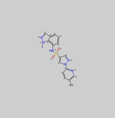 CC(=O)c1ccc(-n2cc(S(=O)(=O)Nc3cccc4cnn(C)c34)cn2)nc1